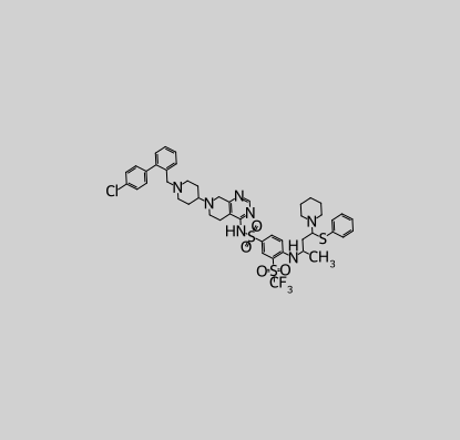 CC(CC(Sc1ccccc1)N1CCCCC1)Nc1ccc(S(=O)(=O)Nc2ncnc3c2CCN(C2CCN(Cc4ccccc4-c4ccc(Cl)cc4)CC2)C3)cc1S(=O)(=O)C(F)(F)F